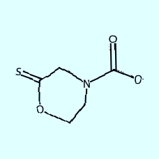 [O]C(=O)N1CCOC(=S)C1